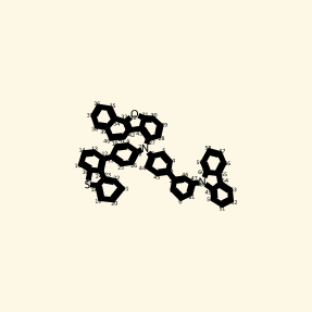 c1cc(-c2ccc(N(c3ccc(-c4cccc5sc6ccccc6c45)cc3)c3cccc4oc5c6ccccc6ccc5c34)cc2)cc(-n2c3ccccc3c3ccccc32)c1